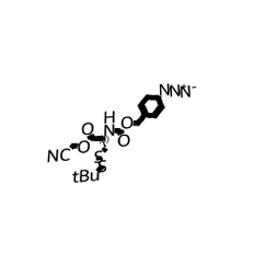 CC(C)(C)SSC[C@@H](NC(=O)OCC1=CCC(N=[N+]=[N-])C=C1)C(=O)OCC#N